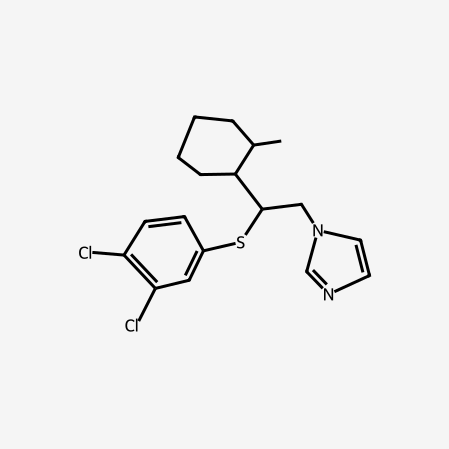 CC1CCCCC1C(Cn1ccnc1)Sc1ccc(Cl)c(Cl)c1